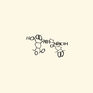 CC(=O)C1CC(C(=O)O)C(C(=O)NCC2CCC(NC(=O)C3CC(C(C)=O)C(C(C)=O)CC3C(=O)O)C2)CC1C(C)=O